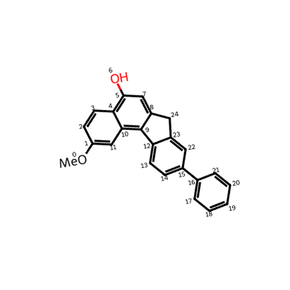 COc1ccc2c(O)cc3c(c2c1)-c1ccc(-c2ccccc2)cc1C3